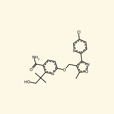 Cc1onc(-c2ccc(Cl)cn2)c1COc1ccc(C(N)=O)c(C(C)(C)CO)n1